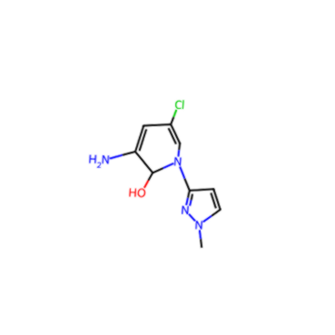 Cn1ccc(N2C=C(Cl)C=C(N)C2O)n1